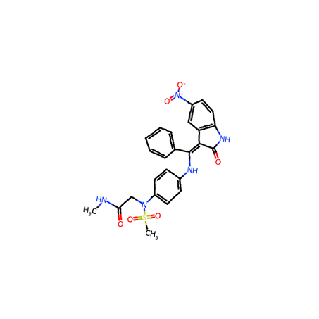 CNC(=O)CN(c1ccc(N/C(=C2\C(=O)Nc3ccc([N+](=O)[O-])cc32)c2ccccc2)cc1)S(C)(=O)=O